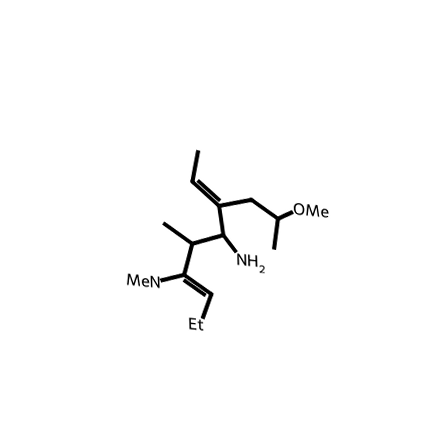 C/C=C(\CC(C)OC)C(N)C(C)C(=CCC)NC